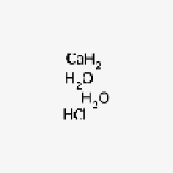 Cl.O.O.[CaH2]